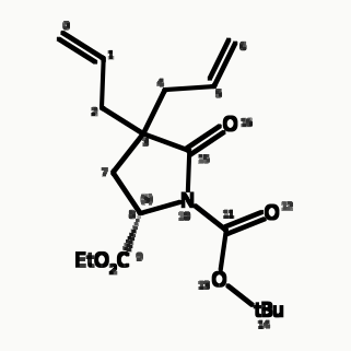 C=CCC1(CC=C)C[C@@H](C(=O)OCC)N(C(=O)OC(C)(C)C)C1=O